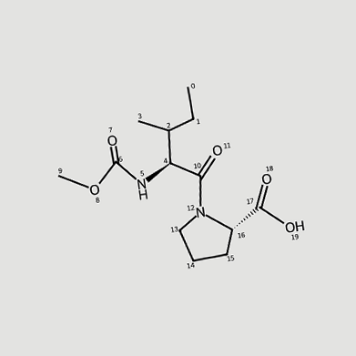 CCC(C)[C@H](NC(=O)OC)C(=O)N1CCC[C@H]1C(=O)O